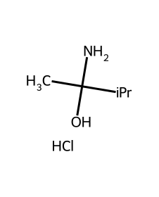 CC(C)C(C)(N)O.Cl